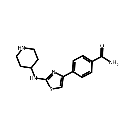 NC(=O)c1ccc(-c2csc(NC3CCNCC3)n2)cc1